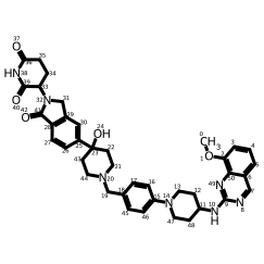 COc1cccc2cnc(NC3CCN(c4ccc(CN5CCC(O)(c6ccc7c(c6)CN(C6CCC(=O)NC6=O)C7=O)CC5)cc4)CC3)nc12